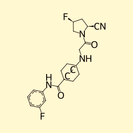 N#C[C@@H]1C[C@H](F)CN1C(=O)CNC12CCC(C(=O)Nc3cccc(F)c3)(CC1)CC2